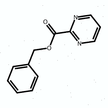 O=C(OCc1ccccc1)c1ncccn1